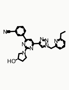 CCc1cccc(Cn2cc(-c3cc(-c4cccc(C#N)c4)nc(N4CC[C@@H](O)C4)n3)nn2)n1